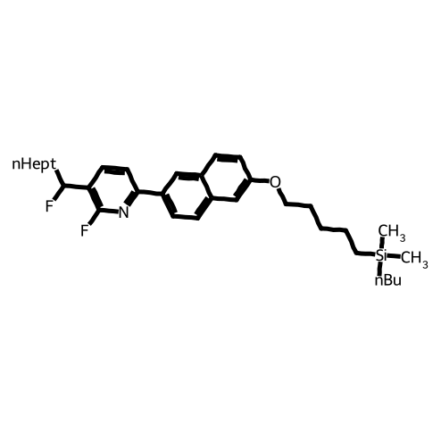 CCCCCCCC(F)c1ccc(-c2ccc3cc(OCCCCC[Si](C)(C)CCCC)ccc3c2)nc1F